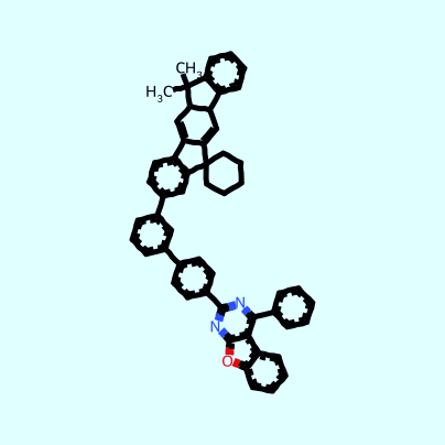 CC1(C)c2ccccc2C2C=C3C(=CC21)c1ccc(-c2cccc(-c4ccc(-c5nc(-c6ccccc6)c6c(n5)oc5ccccc56)cc4)c2)cc1C31CCCCC1